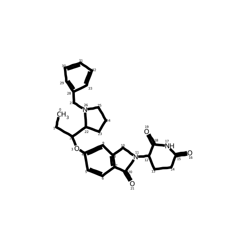 CCC(Oc1ccc2c(c1)CN(C1CCC(=O)NC1=O)C2=O)C1CCCN1Cc1ccccc1